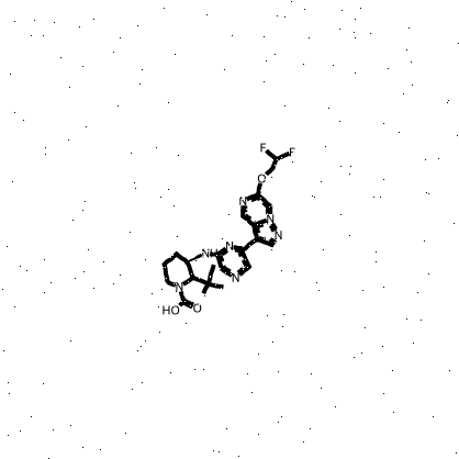 CC(C)(C)C1[C@H](Nc2cncc(-c3cnn4cc(OCC(F)F)ncc34)n2)CCCN1C(=O)O